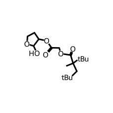 CC(C)(C)CC(C)(C(=O)OCC(=O)OC1CCOC1O)C(C)(C)C